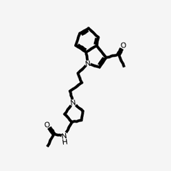 CC(=O)NC1CCN(CCCn2cc(C(C)=O)c3ccccc32)C1